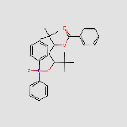 CC(C)(C)C(CC(OP(=O)(c1ccccc1)c1ccccc1)C(C)(C)C)OC(=O)c1ccccc1